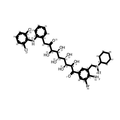 CCN(Cc1cc(C(=O)C(O)[C@@H](O)[C@@H](O)[C@H](O)[C@H](O)C(O)C(=O)Cc2ccccc2Nc2c(Cl)cccc2Cl)cc(Br)c1N)C1CCCCC1